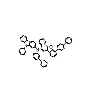 c1ccc(-c2ccc(-c3cccc4c3oc3c5ccccc5c(N(c5cccc(-c6ccccc6)c5)c5ccc6c7ccccc7n(-c7ccccc7)c6c5)cc43)cc2)cc1